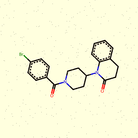 O=C(c1ccc(Br)cc1)N1CCC(N2C(=O)CCc3ccccc32)CC1